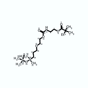 CCC(C)(C)C(=O)OCCNC(=O)OCCOCCC[Si](C)(C)O[Si](C)(C)C